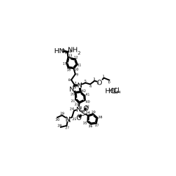 CCOCCCn1c(CCc2ccc(C(=N)N)cc2)nc2cc(N(CCN(CC)CC)S(=O)(=O)c3ccccc3)ccc21.Cl.Cl